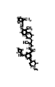 CC(=O)N1CCN(c2cc(C(=O)NCC(O)CN3CCc4c(ccc(OCc5ocnc5C)c4C)C3)cc(NC3CCC3)n2)CC1